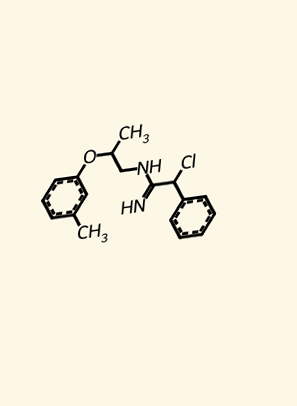 Cc1cccc(OC(C)CNC(=N)C(Cl)c2ccccc2)c1